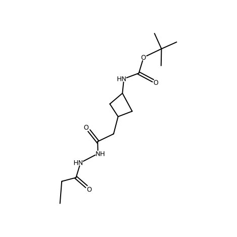 CCC(=O)NNC(=O)CC1CC(NC(=O)OC(C)(C)C)C1